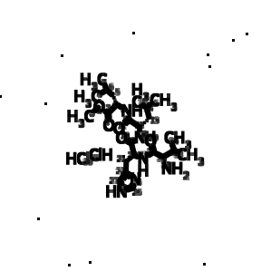 COC(=O)[C@H](CC(C)C)NC(=O)[C@H](CC(C)C)NC(=O)[C@H](Cc1c[nH]cn1)NC(=O)[C@@H](N)C(C)C.Cl.Cl